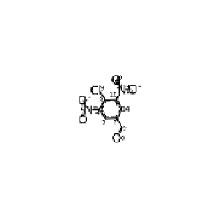 O=[C]c1cc([N+](=O)[O-])c(Cl)c([N+](=O)[O-])c1